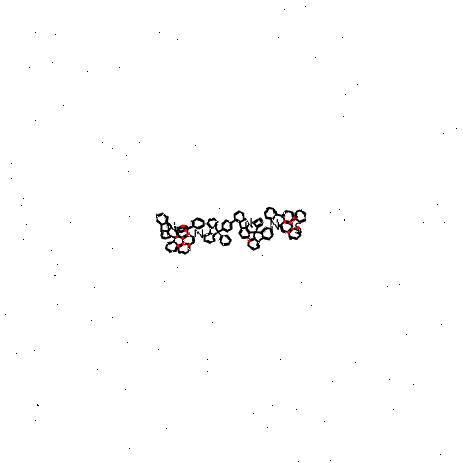 c1ccc(-c2cccc(-c3ccccc3N(c3ccc4c(c3)C3(c5ccccc5-4)c4ccccc4-n4c5cccc(-c6ccc(C7(c8ccccc8)c8ccccc8-c8c(N(c9ccc%10c(c9)C9(c%11ccccc%11-%10)c%10ccccc%10-n%10c%11ccccc%11c%11cccc9c%11%10)c9ccccc9-c9cccc(-c%10ccccc%10)c9)cccc87)cc6)c5c5cccc3c54)c3ccc4sc5ccccc5c4c3)c2)cc1